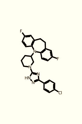 Fc1ccc2c(c1)CCc1cc(F)ccc1N2C1CCCN(c2nc(-c3ccc(Cl)cc3)n[nH]2)C1